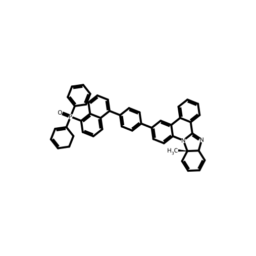 C[C@]12C=CC=CC1N=C1c3ccccc3-c3cc(-c4ccc(-c5cccc6c(P(=O)(C7=CC=CCC7)c7ccccc7)cccc56)cc4)ccc3N12